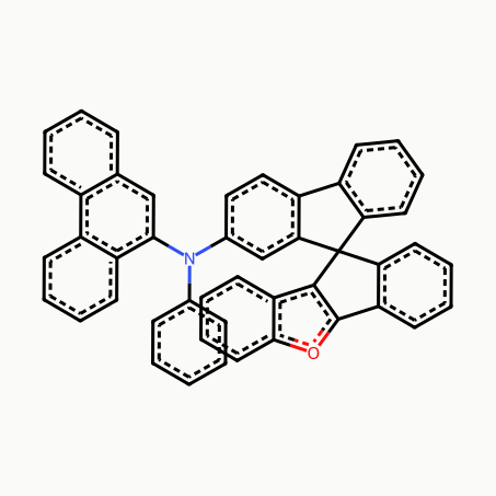 c1ccc(N(c2ccc3c(c2)C2(c4ccccc4-3)c3ccccc3-c3oc4ccccc4c32)c2cc3ccccc3c3ccccc23)cc1